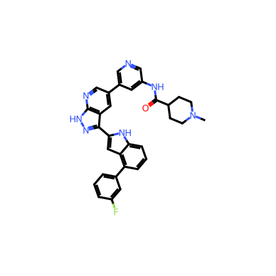 CN1CCC(C(=O)Nc2cncc(-c3cnc4[nH]nc(-c5cc6c(-c7cccc(F)c7)cccc6[nH]5)c4c3)c2)CC1